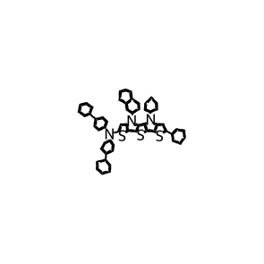 c1ccc(-c2ccc(N(c3ccc(-c4ccccc4)cc3)c3cc4c(s3)c3sc5c6sc(-c7ccccc7)cc6n(-c6ccccc6)c5c3n4-c3ccc4ccccc4c3)cc2)cc1